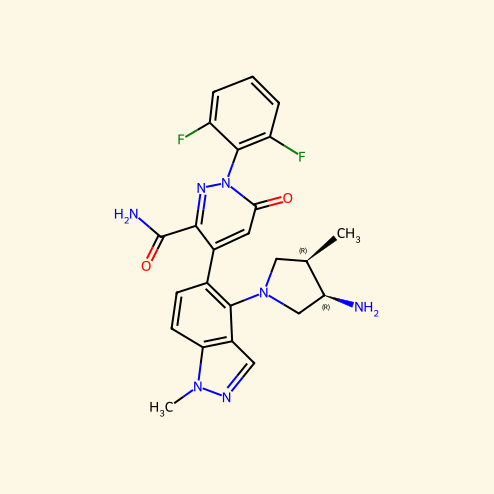 C[C@@H]1CN(c2c(-c3cc(=O)n(-c4c(F)cccc4F)nc3C(N)=O)ccc3c2cnn3C)C[C@@H]1N